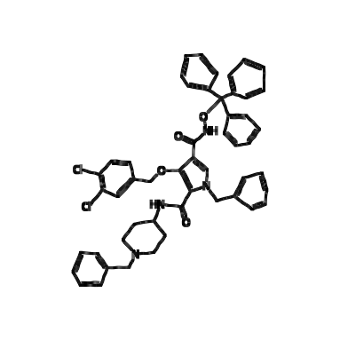 O=C(NOC(c1ccccc1)(c1ccccc1)c1ccccc1)c1cn(Cc2ccccc2)c(C(=O)NC2CCN(Cc3ccccc3)CC2)c1OCc1ccc(Cl)c(Cl)c1